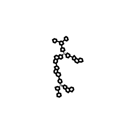 c1ccc(-c2cc(-c3ccccc3)cc(-c3ccc(N(c4ccc(-c5ccc6c(ccc7ccccc76)c5)cc4)c4ccc5c(ccc6ccc(-c7ccc8c(ccc9cc(-c%10ccc(N(c%11cccc(-c%12ccccc%12)c%11)c%11ccc%12c(ccc%13ccccc%13%12)c%11)cc%10)ccc98)c7)cc65)c4)cc3)c2)cc1